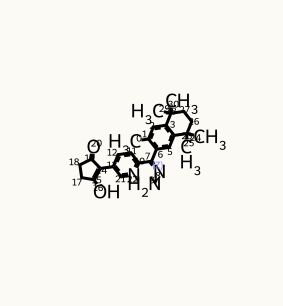 Cc1cc2c(cc1/C(=N/N)c1ccc(C3=C(O)CCC3=O)cn1)C(C)(C)CCC2(C)C